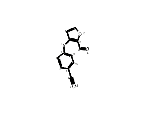 C#Cc1ccc(Sc2ccoc2C=O)cc1